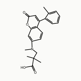 Cc1ccccc1-c1cc(=O)oc2cc(N(C)CC(C)(C)C(=O)O)ccc12